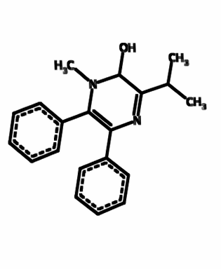 CC(C)C1=NC(c2ccccc2)=C(c2ccccc2)N(C)C1O